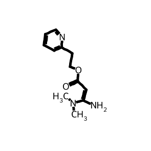 CN(C)C(N)=CC(=O)OCCc1ccccn1